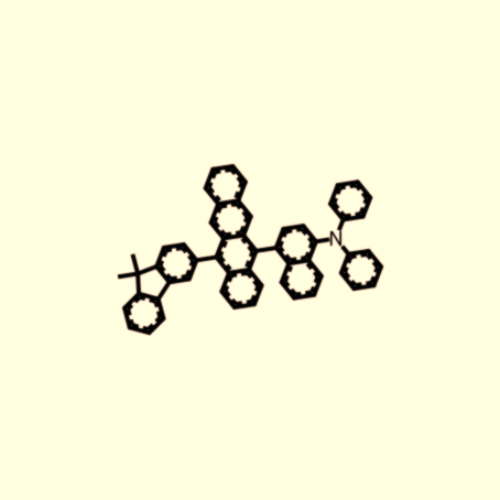 CC1(C)c2ccccc2-c2cc(-c3c4ccccc4c(-c4ccc(N(c5ccccc5)c5ccccc5)c5ccccc45)c4cc5ccccc5cc34)ccc21